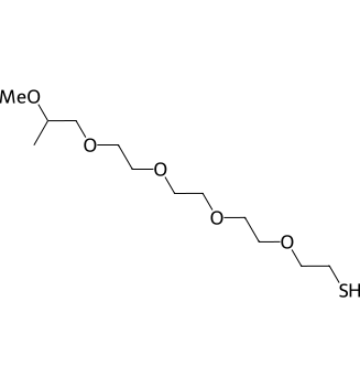 COC(C)COCCOCCOCCOCCS